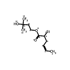 C/C=C\CC(CC)C(=O)OCCC(O)(C(F)(F)F)C(F)(F)F